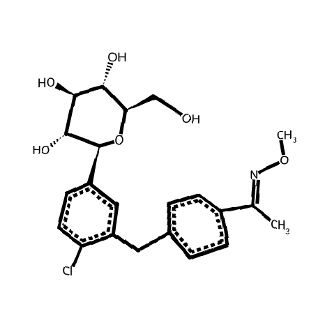 CON=C(C)c1ccc(Cc2cc([C@@H]3O[C@H](CO)[C@@H](O)[C@H](O)[C@H]3O)ccc2Cl)cc1